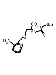 CC(C)(C)OC(=O)NC(CSSc1ncccc1[N+](=O)[O-])C(=O)O